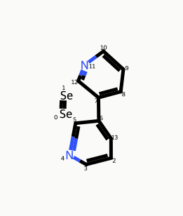 [Se]=[Se].c1cncc(-c2cccnc2)c1